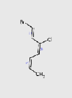 C\C=C/C=C(Cl)\C=C\Br